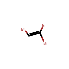 Br[C]=C(Br)Br